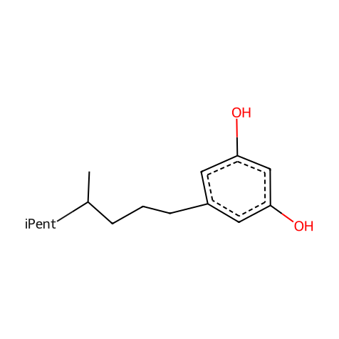 CCCC(C)C(C)CCCc1cc(O)cc(O)c1